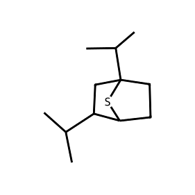 CC(C)C1CC2(C(C)C)CCC1S2